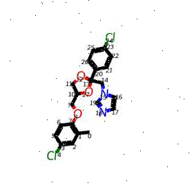 Cc1cc(Cl)ccc1OCC1COC(Cn2ccnc2)(c2ccc(Cl)cc2)O1